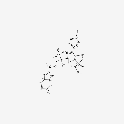 C[C@]1(C(N)=O)COc2c1cc(C(O)(CNC(=O)c1cc3ccc(Cl)cc3[nH]1)C(F)(F)F)nc2-c1ccc(F)cc1